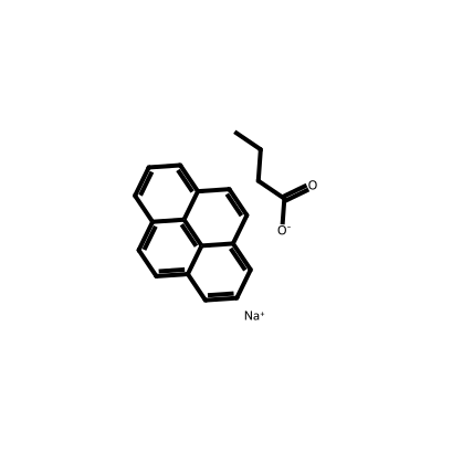 CCCC(=O)[O-].[Na+].c1cc2ccc3cccc4ccc(c1)c2c34